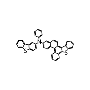 c1ccc(N(c2ccc3c(ccc4c3c3ccccc3c3sc5ccccc5c43)c2)c2ccc3sc4ccccc4c3c2)cc1